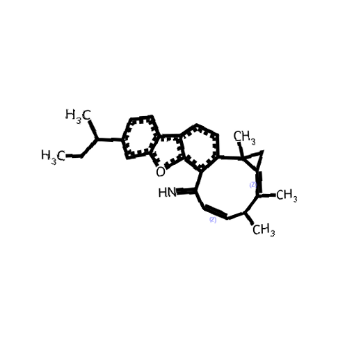 CCC(C)c1ccc2c(c1)oc1c3c(ccc12)C1(C)C/C1=C(\C)C(C)/C=C\C3=N